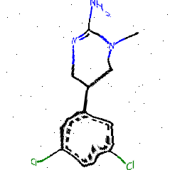 CN1CC(c2cc(Cl)cc(Cl)c2)CN=C1N